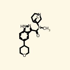 CN(C(=O)c1n[nH]c2ccc(C3CCOCC3)cc12)C1CN2CCC1CC2